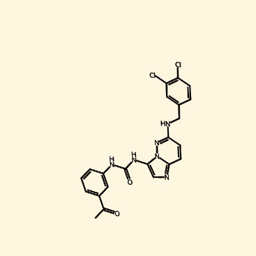 CC(=O)c1cccc(NC(=O)Nc2cnc3ccc(NCc4ccc(Cl)c(Cl)c4)nn23)c1